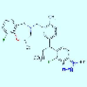 CCC1CN(Cc2cc(C(CC(=O)O)c3ccc4c(nnn4CC)c3F)ccc2C)Cc2cccc(F)c2O1